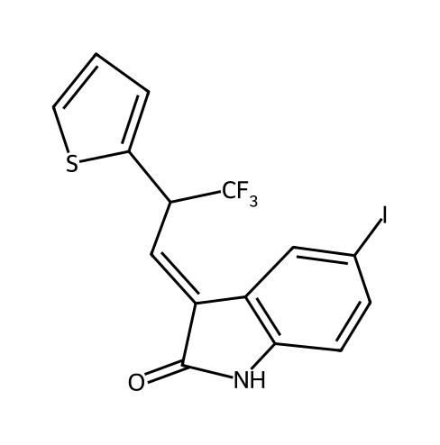 O=C1Nc2ccc(I)cc2C1=CC(c1cccs1)C(F)(F)F